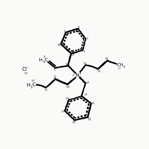 C=CC(c1ccccc1)[N+](CCCC)(CCCC)Cc1ccccc1.[Cl-]